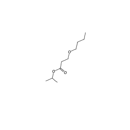 CCCCOCCC(=O)OC(C)C